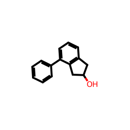 OC1Cc2cccc(-c3ccccc3)c2C1